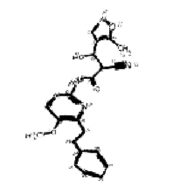 COc1cnc(NC(=O)C(C#N)C(O)c2cnoc2C)nc1CCc1ccccc1